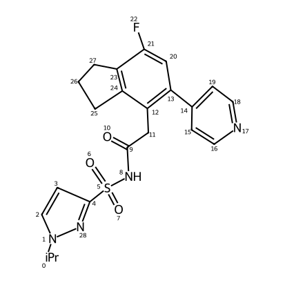 CC(C)n1ccc(S(=O)(=O)NC(=O)Cc2c(-c3ccncc3)cc(F)c3c2CCC3)n1